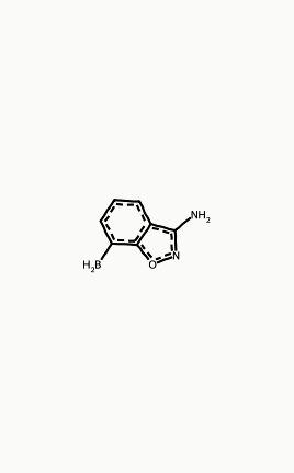 Bc1cccc2c(N)noc12